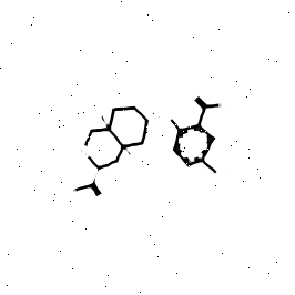 O=C(O)c1cc(Cl)ccc1S[C@H]1CC[C@H]2CN[C@H](C(=O)O)C[C@H]2C1